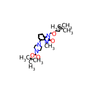 Cn1c(=O)n(COCC[Si](C)(C)C)c2cccc(N3CCN(C(=O)OC(C)(C)C)CC3)c21